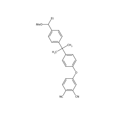 CCC(OC)c1ccc(C(C)(C)c2ccc(Oc3ccc(C#N)c(C#N)c3)cc2)cc1